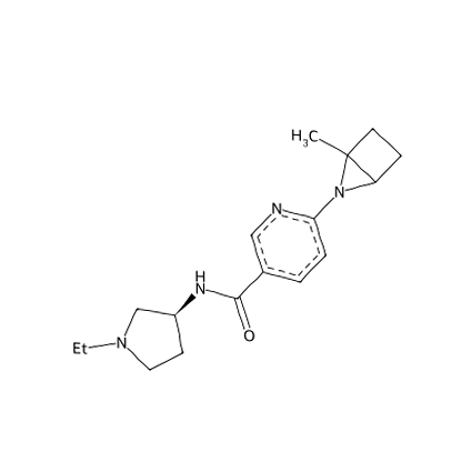 CCN1CC[C@H](NC(=O)c2ccc(N3C4CCC43C)nc2)C1